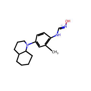 Cc1cc(N2CCCC3CCCCC32)ccc1N/C=N/O